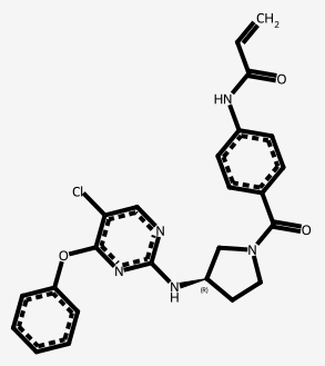 C=CC(=O)Nc1ccc(C(=O)N2CC[C@@H](Nc3ncc(Cl)c(Oc4ccccc4)n3)C2)cc1